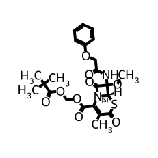 COC1(NC(=O)COc2ccccc2)C(=O)N2C(C(=O)OCOC(=O)C(C)(C)C)=C(C)C(=O)S[C@H]21